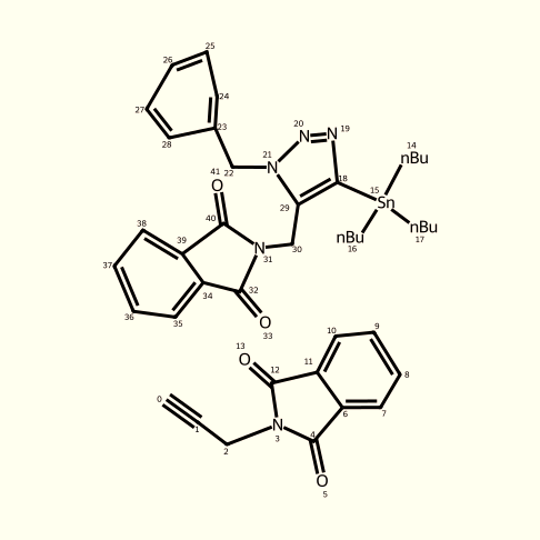 C#CCN1C(=O)c2ccccc2C1=O.CCC[CH2][Sn]([CH2]CCC)([CH2]CCC)[c]1nnn(Cc2ccccc2)c1CN1C(=O)c2ccccc2C1=O